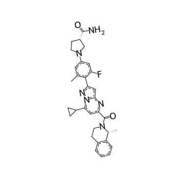 Cc1cc(N2CC[C@H](C(N)=O)C2)cc(F)c1-c1cc2nc(C(=O)N3CCc4ccccc4[C@H]3C)cc(C3CC3)n2n1